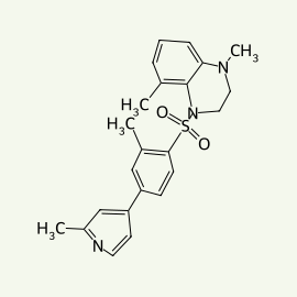 Cc1cc(-c2ccc(S(=O)(=O)N3CCN(C)c4cccc(C)c43)c(C)c2)ccn1